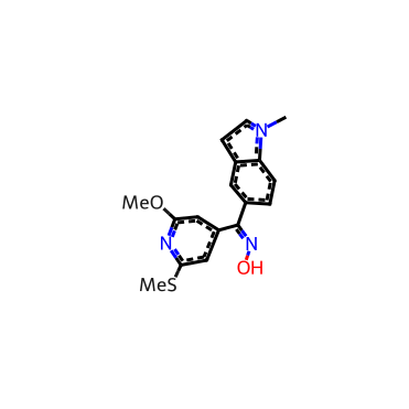 COc1cc(/C(=N\O)c2ccc3c(ccn3C)c2)cc(SC)n1